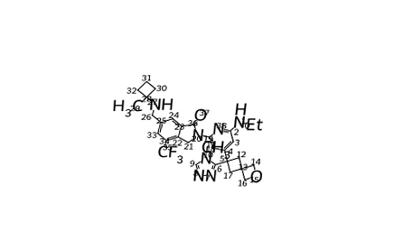 CCNc1cc(C2(c3nncn3C)CC3(COC3)C2)cc(N2Cc3c(cc(CNC4(C)CCC4)cc3C(F)(F)F)C2=O)n1